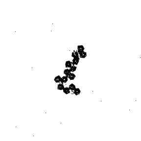 C1=C(n2c3ccccc3c3c(-c4cccc5c4c4ccccc4n5-c4ccc5sc6c(-n7c8ccccc8c8ccccc87)nccc6c5c4)cccc32)CCc2c1c1ccccc1n2-c1cccc(-c2cccc(-c3cccc4c3sc3ccccc34)c2)c1